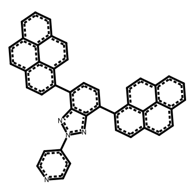 c1cc2ccc3ccc(-c4ccc(-c5ccc6ccc7cccc8ccc5c6c78)c5nn(-c6ccncc6)nc45)c4ccc(c1)c2c34